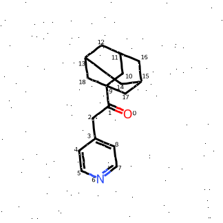 O=C([CH]c1ccncc1)C12CC3CC(CC(C3)C1)C2